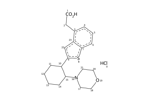 Cl.O=C(O)Cc1cccc2sc(C3CCCCC3N3CCOCC3)cc12